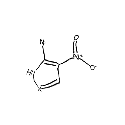 [N]c1[nH]ncc1[N+](=O)[O-]